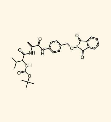 C=C(NC(=O)C(NC(=O)OC(C)(C)C)C(C)C)C(=O)Nc1ccc(CON2C(=O)c3ccccc3C2=O)cc1